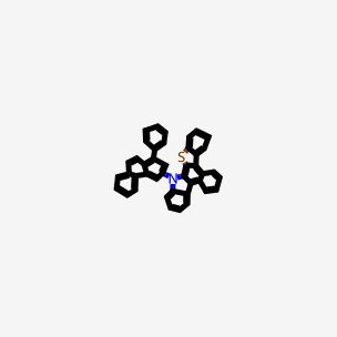 c1ccc(-c2cc(-n3c4ccccc4c4c5ccccc5c5c6ccccc6sc5c43)cc3c2ccc2ccccc23)cc1